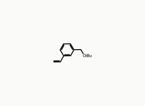 C=Cc1cccc(COCC(C)C)c1